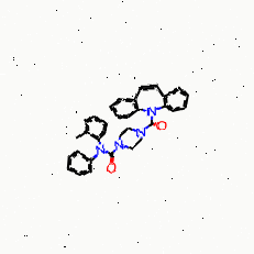 Cc1ccccc1N(C(=O)N1CCN(C(=O)N2c3ccccc3C=Cc3ccccc32)CC1)c1ccccc1